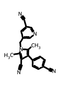 Cc1c(C#N)c(-c2ccc(C#N)cc2)c(C)n1Cc1cncc(C#N)c1